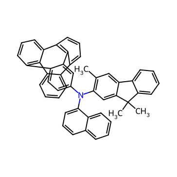 Cc1cc2c(cc1N(c1ccc3c(c1)-c1c4cccc1-c1cccc-3c1-c1ccccc1-4)c1cccc3ccccc13)C(C)(C)c1ccccc1-2